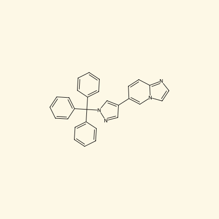 c1ccc(C(c2ccccc2)(c2ccccc2)n2cc(-c3ccc4nccn4c3)cn2)cc1